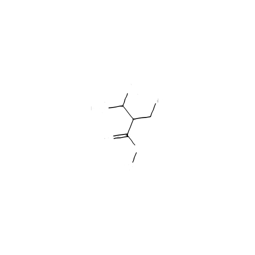 CC(C)CC(C(=O)OC(C)(C)C)C(C(=O)O)C(=O)O